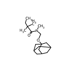 CCC(C)(C)C(=O)N(C)COC12CC3CC(CC(C3)C1)C2